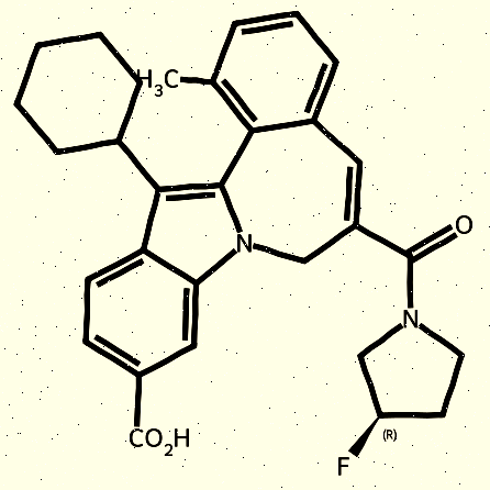 Cc1cccc2c1-c1c(C3CCCCC3)c3ccc(C(=O)O)cc3n1CC(C(=O)N1CC[C@@H](F)C1)=C2